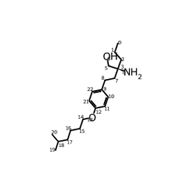 CCC[C@@](N)(CO)CCc1ccc(OCCCCC(C)C)cc1